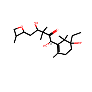 CCC1(O)CCC(C)=C([C@@H](O)C(=O)C(C)(C)C(O)CC2OCC2C)C1(C)C